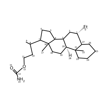 CC[C@H]1CC2C3CCC(C(C)CCOC(N)=O)C3(C)CC[C@@H]2C2(C)CCCCC12